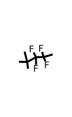 CC(C)(C)C(F)(F)C(C)(F)F